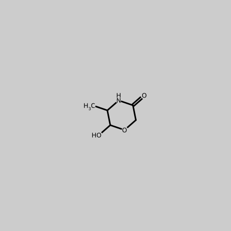 CC1NC(=O)COC1O